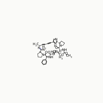 COC(=O)N[C@H](C(=O)N1CCC[C@H]1/C(N)=N/C(C)C#CC#Cc1cnc([C@@H]2CCCN2C(=O)[C@@H](NC(=O)OC)C(C)C)[nH]1)c1ccccc1